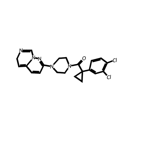 O=C(N1CCN(C2=NN3C=NCC=C3C=C2)CC1)C1(c2ccc(Cl)c(Cl)c2)CC1